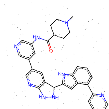 CN1CCC(C(=O)Nc2cncc(-c3cnc4c(c3)C(c3cc5c(-c6ccccn6)cccc5[nH]3)NN4)c2)CC1